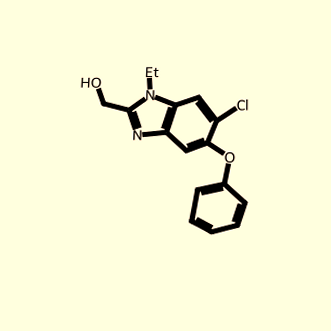 CCn1c(CO)nc2cc(Oc3ccccc3)c(Cl)cc21